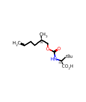 C=CCC[C@@H](C)COC(=O)N[C@H](C(=O)O)C(C)(C)C